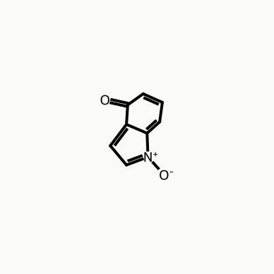 O=C1C=CC=C2C1=CC=[N+]2[O-]